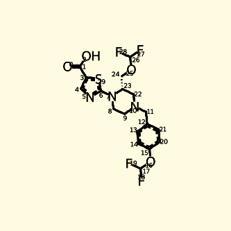 O=C(O)c1cnc(N2CCN(Cc3ccc(OC(F)F)cc3)C[C@H]2COC(F)F)s1